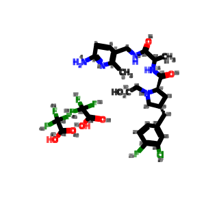 Cc1nc(N)ccc1CNC(=O)C(C)NC(=O)[C@H]1C[C@H](Cc2ccc(F)c(Cl)c2)CN1CC(=O)O.O=C(O)C(F)(F)F.O=C(O)C(F)(F)F